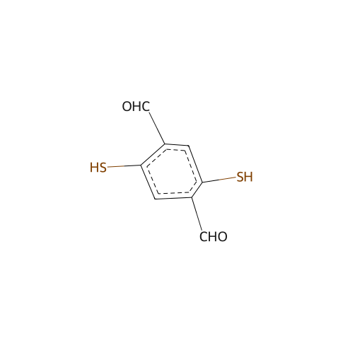 O=Cc1cc(S)c(C=O)cc1S